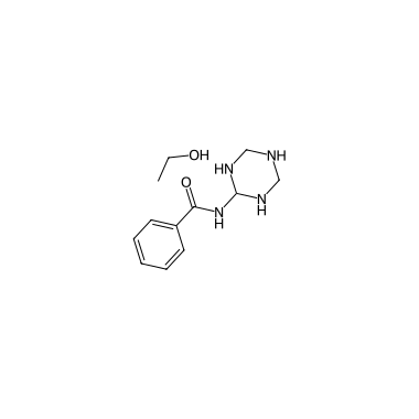 CCO.O=C(NC1NCNCN1)c1ccccc1